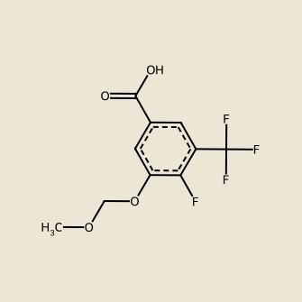 COCOc1cc(C(=O)O)cc(C(F)(F)F)c1F